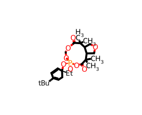 CC[C@]1(O[P@@]2(=O)OCOC(=O)C(C)(C)C3COCC3C(C)(C)C(=O)O2)C=CC(C(C)(C)C)=CC1